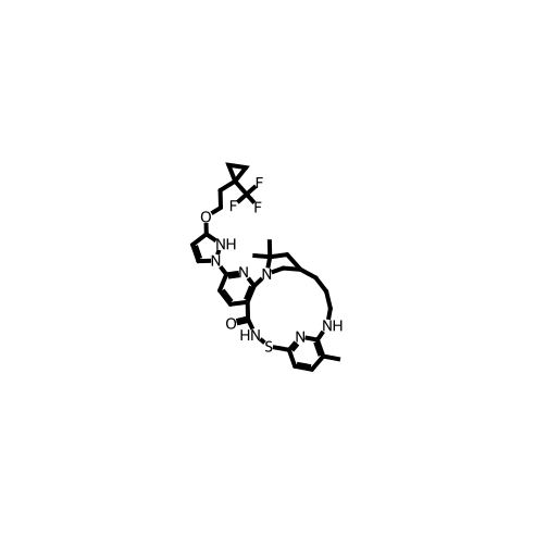 Cc1ccc2nc1NCCCC1CN(c3nc(N4C=CC(OCCC5(C(F)(F)F)CC5)N4)ccc3C(=O)NS2)C(C)(C)C1